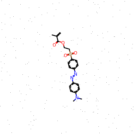 C=C(C)C(=O)OCCS(=O)(=O)c1ccc(/N=N/c2ccc(N(C)C)cc2)cc1